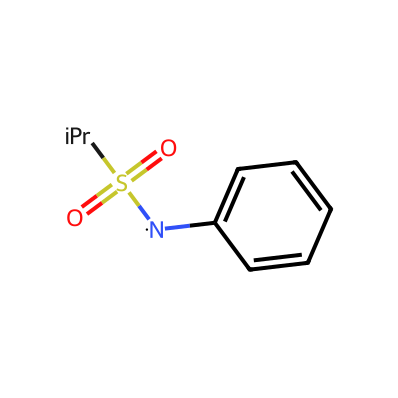 CC(C)S(=O)(=O)[N]c1ccccc1